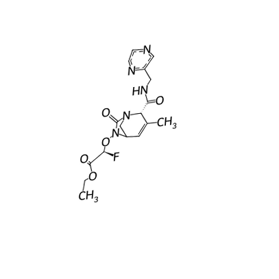 CCOC(=O)[C@H](F)ON1C(=O)N2CC1C=C(C)[C@H]2C(=O)NCc1cnccn1